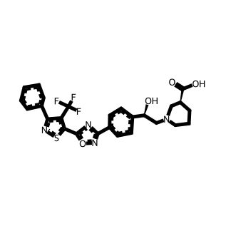 O=C(O)[C@H]1CCCN(C[C@H](O)c2ccc(-c3noc(-c4snc(-c5ccccc5)c4C(F)(F)F)n3)cc2)C1